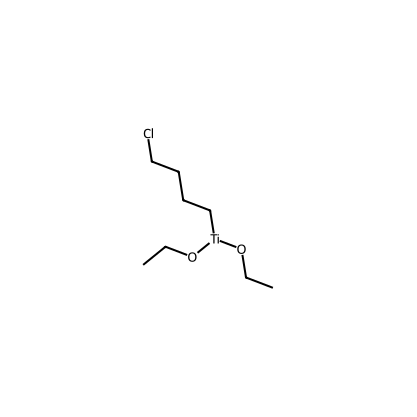 CC[O][Ti]([CH2]CCCCl)[O]CC